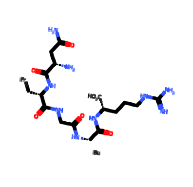 CC[C@H](C)[C@H](NC(=O)CNC(=O)[C@H](CC(C)C)NC(=O)[C@@H](N)CC(N)=O)C(=O)N[C@@H](CCCNC(=N)N)C(=O)O